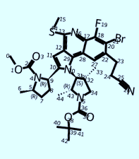 COC(=O)N1[C@H](C)CC[C@@H]1c1cc2c(SC)nc3c(F)c(Br)c(CCC#N)cc3c2n1[C@H]1[C@H](C)CN(C(=O)OC(C)(C)C)[C@@H]1C